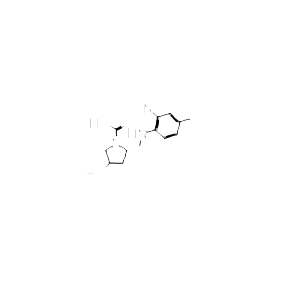 Nc1cc(F)ccc1NC[C@@H]1CC(O)CN1C(=O)O